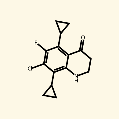 O=C1CCNc2c1c(C1CC1)c(F)c(Cl)c2C1CC1